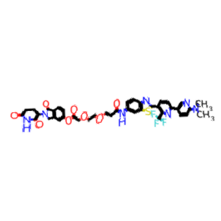 CN(C)c1ccc(-c2ccc(-c3nc4ccc(NC(=O)CCOCCOCC(=O)Oc5ccc6c(c5)CN(C5CCC(=O)NC5=O)C6=O)cc4s3)c(C(F)(F)F)n2)cn1